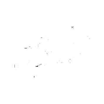 COC(=O)[C@@H]1C[C@@H](Oc2ccnc(Br)c2)CN1B(C)O